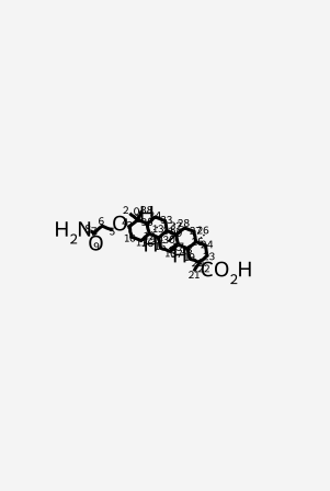 CC1(C)[C@@H](OCCC(N)=O)CC[C@]2(C)[C@H]3CC=C4[C@@H]5C[C@@](C)(C(=O)O)CC[C@]5(C)CC[C@@]4(C)[C@]3(C)CC[C@@H]12